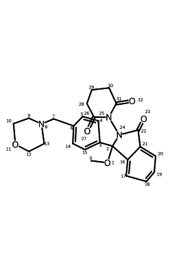 COC1(c2ccc(CN3CCOCC3)cc2)c2ccccc2C(=O)N1N1C(=O)CCCC1=O